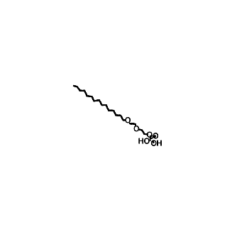 CCCCCCCCCCCCCCCOCCOCCOP(=O)(O)O